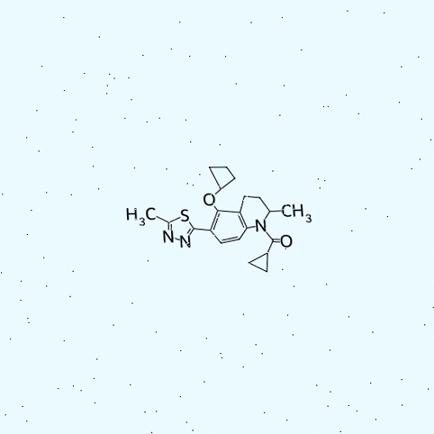 Cc1nnc(-c2ccc3c(c2OC2CCC2)CCC(C)N3C(=O)C2CC2)s1